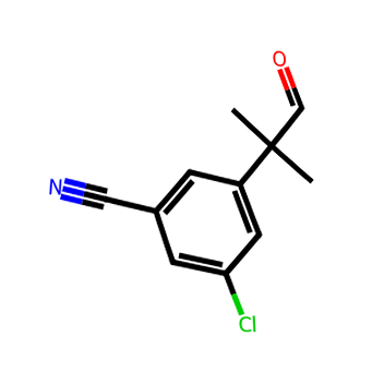 CC(C)(C=O)c1cc(Cl)cc(C#N)c1